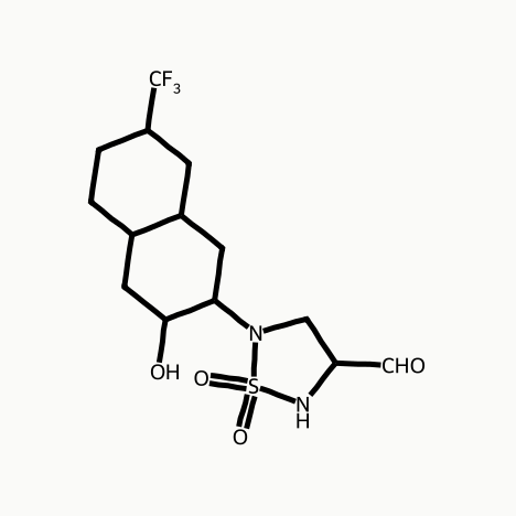 O=CC1CN(C2CC3CC(C(F)(F)F)CCC3CC2O)S(=O)(=O)N1